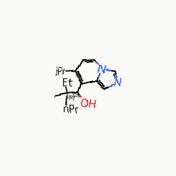 CCC[C@@](C)(CC)[C@H](O)c1c(C(C)C)ccn2cncc12